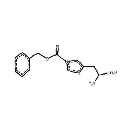 N[C@@H](Cc1cn(C(=O)OCc2ccccc2)cn1)C(=O)O